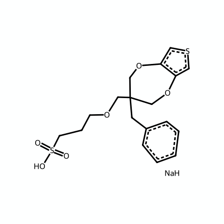 O=S(=O)(O)CCCOCC1(Cc2ccccc2)COc2cscc2OC1.[NaH]